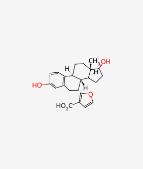 C[C@]12CC[C@@H]3c4ccc(O)cc4CC[C@H]3[C@@H]1CC[C@@H]2O.O=C(O)c1ccoc1